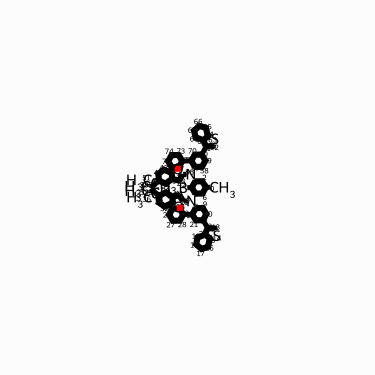 Cc1cc2c3c(c1)N(c1ccc(-c4csc5ccccc45)cc1-c1ccccc1)c1oc4ccc(C(C)(C)C)cc4c1B3c1c(oc3ccc(C(C)(C)C)cc13)N2c1ccc(-c2csc3ccccc23)cc1-c1ccccc1